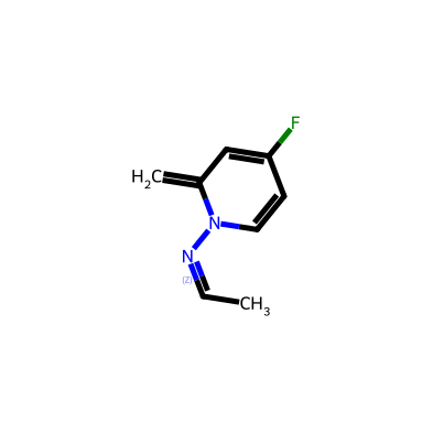 C=C1C=C(F)C=CN1/N=C\C